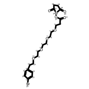 O=C(CCOCCOCCOCCOCCc1ccc(Br)cc1)ON1C(=O)CCC1=O